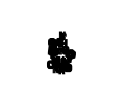 COc1cccc(CNC(=O)c2cc(C(=O)NCc3ccc(C(=O)NCCN(C)C)cc3)ncn2)c1